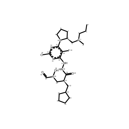 CCCN(C)C[C@@H]1CCCN1c1nc(Cl)nc(NNC(=O)[C@@H](CC2CCCC2)CN(O)C=O)c1F